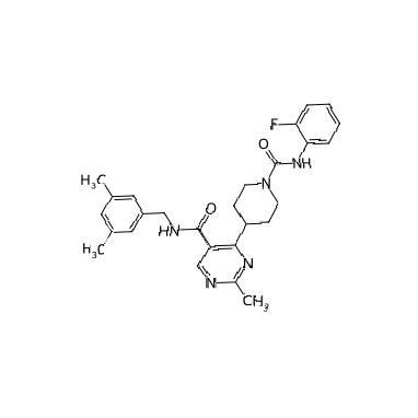 Cc1cc(C)cc(CNC(=O)c2cnc(C)nc2C2CCN(C(=O)Nc3ccccc3F)CC2)c1